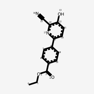 CCOC(=O)c1ccc(-c2ccc(O)c(C#N)n2)cc1